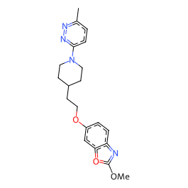 COc1nc2ccc(OCCC3CCN(c4ccc(C)nn4)CC3)cc2o1